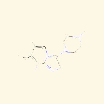 CN1CCN(c2cnc3c(I)c(C#N)c(Br)cn23)CC1